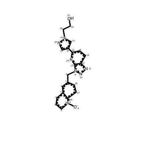 [O-][n+]1cccc2cc(Cn3nnc4ccc(-c5cnn(CCO)c5)nc43)ccc21